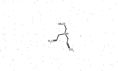 C=CC[SiH](CC=C)COC